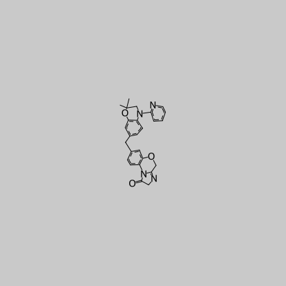 CC1(C)CN(c2ccccn2)c2ccc(Cc3ccc4c(c3)OCC3=NCC(=O)N34)cc2O1